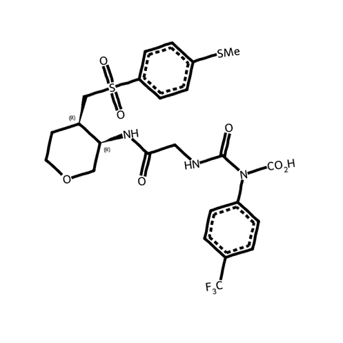 CSc1ccc(S(=O)(=O)C[C@@H]2CCOC[C@@H]2NC(=O)CNC(=O)N(C(=O)O)c2ccc(C(F)(F)F)cc2)cc1